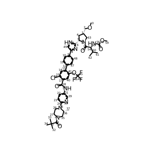 COC[C@H]1C[C@@H](c2nc(-c3ccc(-c4cc(Cl)c(C(=O)Nc5ccc(N6CCN(C(=O)C(C)(C)C)C[C@H]6C)nc5)cc4OC(F)(F)F)cc3)c[nH]2)N(C(=O)[C@@H](NC(=O)OC)C(C)C)C1